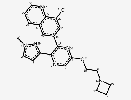 Cn1ccc(-c2ncc(OCCN3CCC3)nc2-c2cc(Cl)c3ncccc3c2)n1